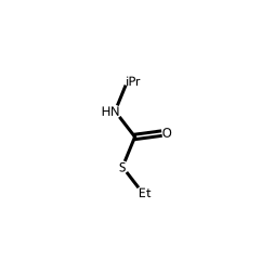 CCSC(=O)NC(C)C